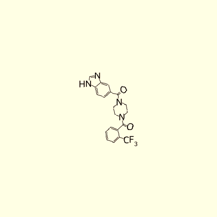 O=C(c1ccc2[nH]cnc2c1)N1CCN(C(=O)c2ccccc2C(F)(F)F)CC1